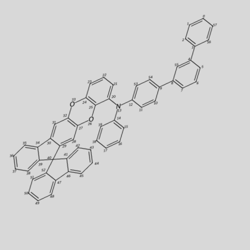 c1ccc(-c2cccc(-c3ccc(N(c4ccccc4)c4cccc5c4Oc4cc6c(cc4O5)-c4ccccc4C64c5ccccc5-c5ccccc54)cc3)c2)cc1